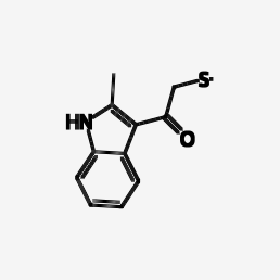 Cc1[nH]c2ccccc2c1C(=O)C[S]